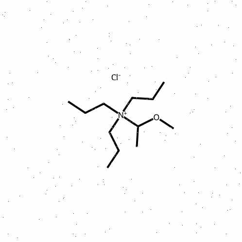 CCC[N+](CCC)(CCC)C(C)OC.[Cl-]